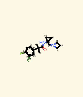 CC(C)(C(=O)NC1(CN2CCC2)CC1)c1ccc(F)c(Cl)c1